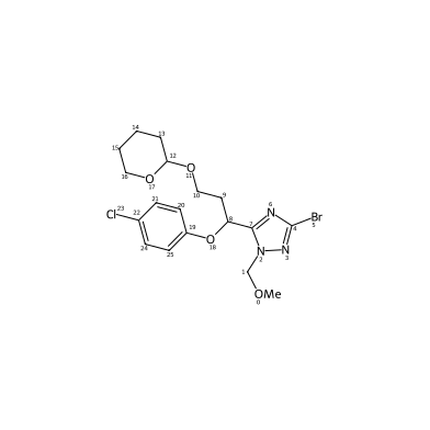 COCn1nc(Br)nc1C(CCOC1CCCCO1)Oc1ccc(Cl)cc1